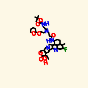 CC[C@@]1(O)C(=O)OCC2=C1C=C1c3nc4cc(F)c(C)c5c4c(c3CN1C2)C(NC(=O)CCN(CCNC(=O)OC(C)(C)C)CCOC1CCCCO1)CC5